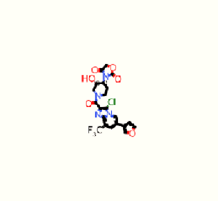 O=C(c1nc2c(C(F)(F)F)cc(-c3ccoc3)cn2c1Cl)N1CC[C@H](N2C(=O)COC2=O)[C@@H](O)C1